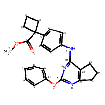 COC(=O)C1(c2ccc(Nc3nc(Oc4ccccc4)nc4c3CCC4)cc2)CCC1